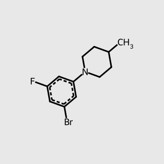 CC1CCN(c2cc(F)cc(Br)c2)CC1